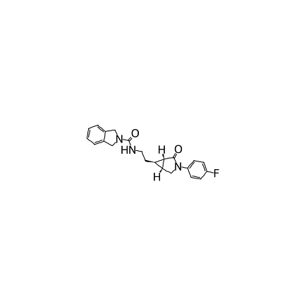 O=C(NCC[C@@H]1[C@H]2CN(c3ccc(F)cc3)C(=O)[C@@H]12)N1Cc2ccccc2C1